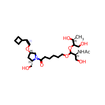 CC(=O)N[C@@H](CO)C(OCCCCCC(=O)N1C[C@H](O/C=C\C2CCC2)C[C@H]1CO)OC(CO)[C@@H](C)O